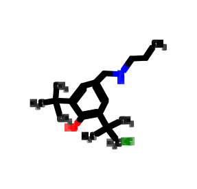 CCCNCc1cc(C(C)(C)C)c(O)c(C(C)(C)C)c1.Cl